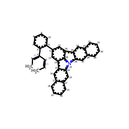 C/C=C\C(=C/C)c1ccccc1-c1cc2c3cc4ccccc4cc3n3c4cc5ccccc5cc4c(c1)c23